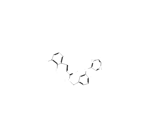 C[C@H](NC(=O)C=Cc1cccc(F)c1F)c1cccc(Oc2cnccn2)c1